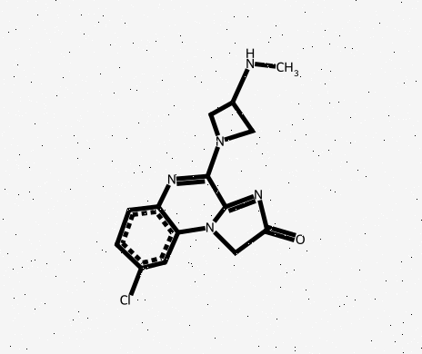 CNC1CN(C2=Nc3ccc(Cl)cc3N3CC(=O)N=C23)C1